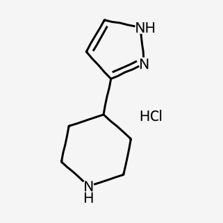 Cl.c1cc(C2CCNCC2)n[nH]1